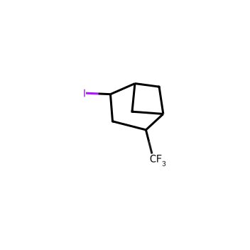 FC(F)(F)C1CC(I)C2CC1C2